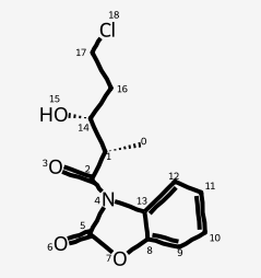 C[C@H](C(=O)n1c(=O)oc2ccccc21)[C@H](O)CCCl